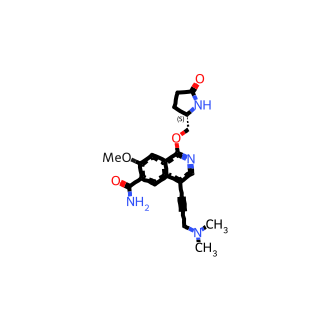 COc1cc2c(OC[C@@H]3CCC(=O)N3)ncc(C#CCN(C)C)c2cc1C(N)=O